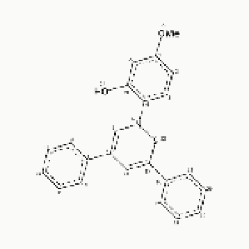 COc1ccc(N2C=C(c3ccccc3)C=C(c3ccccc3)S2)c(O)c1